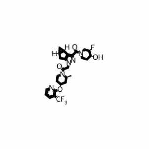 C[C@H]1C[C@H](Oc2ncccc2C(F)(F)F)CCN1C(=O)Cn1nc(C(=O)N2CC[C@@H](O)[C@@H](F)C2)c2c1C[C@H]1C[C@@H]21